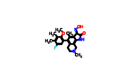 COc1c(-c2c(C)c3c(c4c2CCN(C)C4)NC(=O)/C3=N\O)cc(F)c(C)c1C